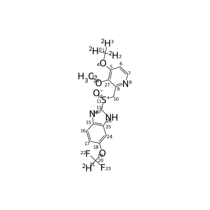 [2H]C([2H])([2H])Oc1ccnc(C[S+]([O-])c2nc3ccc(OC([2H])(F)F)cc3[nH]2)c1OC